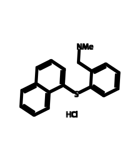 CNCc1ccccc1Sc1cccc2ccccc12.Cl